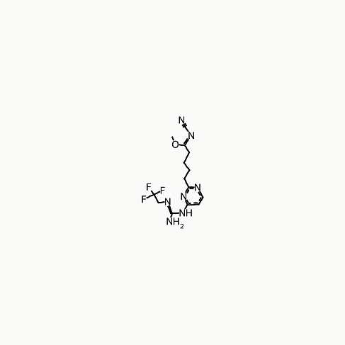 COC(CCCCc1nccc(NC(N)=NCC(F)(F)F)n1)=NC#N